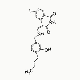 CCCCc1ccc(CNC=C2C(=O)NC(=O)c3ccc(I)cc32)cc1O